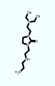 N#CCN(CC#N)CCN1CCN(CCNCCN)C1=O